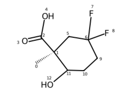 C[C@]1(C(=O)O)CC(F)(F)CCC1O